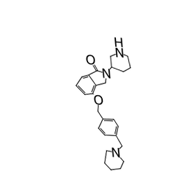 O=C1c2cccc(OCc3ccc(CN4CCCCC4)cc3)c2CN1C1CCCNC1